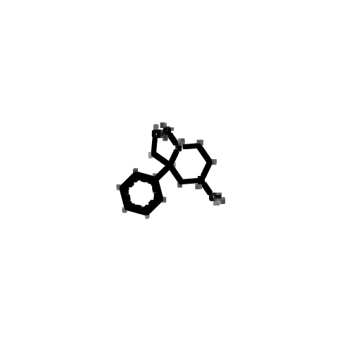 CCC1(c2ccccc2)CN(C)CC[S+]1[O-]